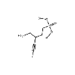 CC#CC(CCP(=O)(OCC)OCC)CS(=O)(=O)O